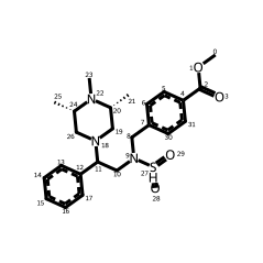 COC(=O)c1ccc(CN(CC(c2ccccc2)N2C[C@@H](C)N(C)[C@@H](C)C2)[SH](=O)=O)cc1